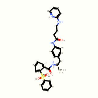 O=C(CCCNc1ccccn1)Nc1ccc(C[C@H](NC(=O)c2ccccc2S(=O)(=O)c2ccccc2)C(=O)O)cc1